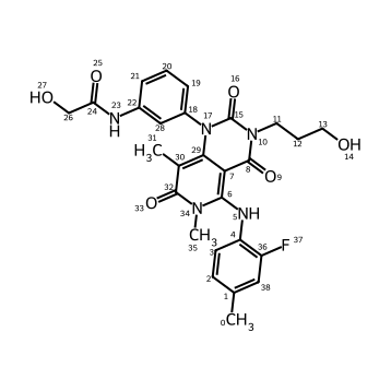 Cc1ccc(Nc2c3c(=O)n(CCCO)c(=O)n(-c4cccc(NC(=O)CO)c4)c3c(C)c(=O)n2C)c(F)c1